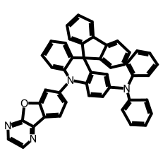 c1ccc(N(c2ccccc2)c2ccc3c(c2)C2(c4ccccc4-c4ccccc42)c2ccccc2N3c2ccc3c(c2)oc2nccnc23)cc1